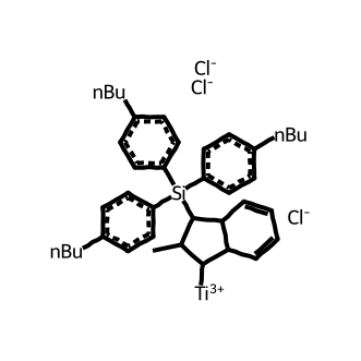 CCCCc1ccc([Si](c2ccc(CCCC)cc2)(c2ccc(CCCC)cc2)C2C(C)[CH]([Ti+3])C3C=CC=CC32)cc1.[Cl-].[Cl-].[Cl-]